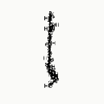 C[C@H](CCC(=O)O)[C@H]1CCC2[C@@H]3CC[C@@H]4C[C@@H](ONC(=O)CCC(=O)NCCOCCOCC(=O)NCCOCCOCC(=O)N[C@@H](CCCCNC(=O)CBr)C(=O)O)CC[C@]4(C)[C@H]3CC[C@@]21C